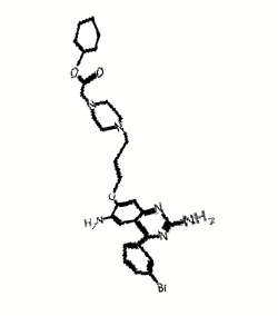 Nc1nc(-c2cccc(Br)c2)c2cc(N)c(OCCCN3CCN(CC(=O)OC4CCCCC4)CC3)cc2n1